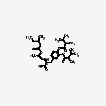 CCC(C)CC(=O)OC(C)CN[C@@H](Cc1ccc(OC(=O)C(C)C(C)C)c(OC(=O)C(C)C(C)C)c1)C(=O)O